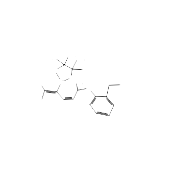 CCOC(=O)Cc1ccccc1OC(C)/C=C\C(B1OC(C)(C)C(C)(C)O1)=C(/C)O